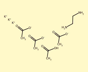 CC(=O)O.CC(=O)[O-].CC(=O)[O-].CC(=O)[O-].NCCN.[K+].[K+].[K+]